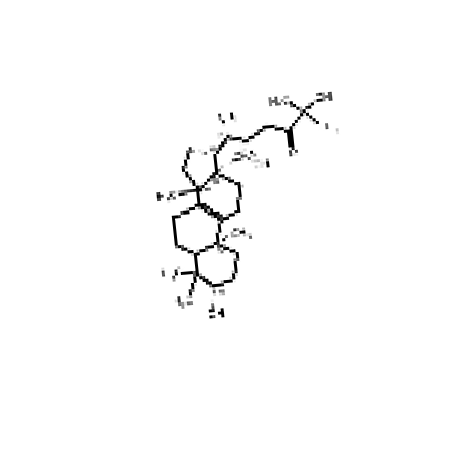 C[C@@H]([C@H]1CC[C@@]2(C)C3=C(CC[C@]12C)[C@@]1(C)CC[C@H](O)C(C)(C)C1CC3)[C@@H](O)CC(=O)C(C)(C)O